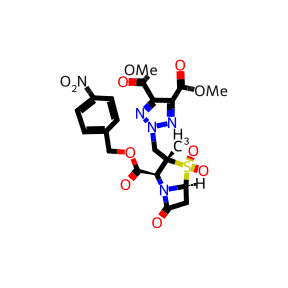 COC(=O)c1nn(C[C@@]2(C)[C@H](C(=O)OCc3ccc([N+](=O)[O-])cc3)N3C(=O)C[C@@H]3S2(=O)=O)nc1C(=O)OC